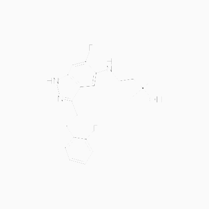 CC(C)(O)CCNc1cc2c(C=Cc3ccccc3F)n[nH]c2cc1F